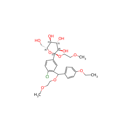 CCOc1ccc(C(OCCOC)c2cc([C@]3(OCCOC)O[C@H](CO)[C@@H](O)[C@H](O)[C@H]3O)ccc2Cl)cc1